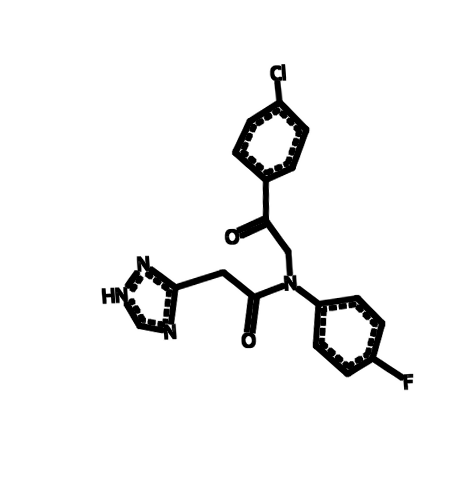 O=C(CN(C(=O)Cc1nc[nH]n1)c1ccc(F)cc1)c1ccc(Cl)cc1